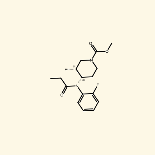 CCC(=O)N(c1ccccc1F)[C@H]1CCN(C(=O)OC)C[C@H]1C